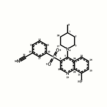 CC1CCN(c2c(S(=O)(=O)c3cccc(C#N)c3)cnc3c(F)cccc23)CC1